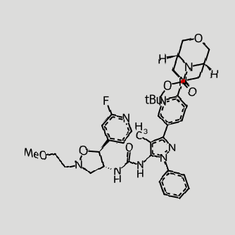 COCCN1C[C@@H](NC(=O)Nc2c(C)c(-c3ccc(N4C[C@H]5COC[C@@H](C4)N5C(=O)OC(C)(C)C)nc3)nn2-c2ccccc2)[C@H](c2ccnc(F)c2)O1